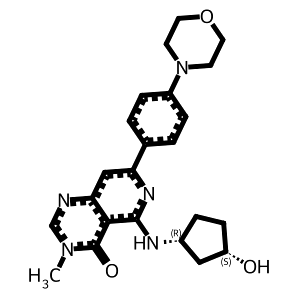 Cn1cnc2cc(-c3ccc(N4CCOCC4)cc3)nc(N[C@@H]3CC[C@H](O)C3)c2c1=O